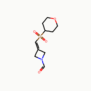 O=CN1CC(=CS(=O)(=O)C2CCOCC2)C1